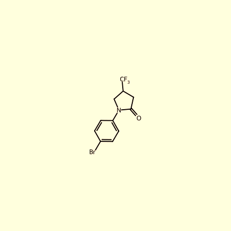 O=C1CC(C(F)(F)F)CN1c1ccc(Br)cc1